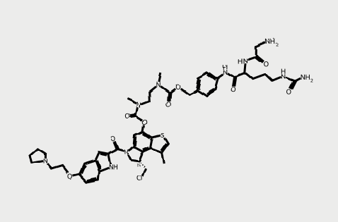 Cc1csc2c(OC(=O)N(C)CCN(C)C(=O)OCc3ccc(NC(=O)C(CCCNC(N)=O)NC(=O)CN)cc3)cc3c(c12)[C@H](CCl)CN3C(=O)c1cc2cc(OCCN3CCCC3)ccc2[nH]1